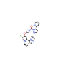 Cc1cnn(C)c1-c1cc(OC2CN(C(=O)N3N=CCC3c3ccccn3)C2)c(F)cn1